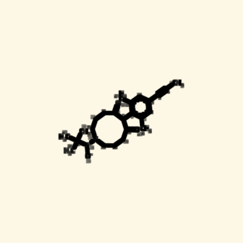 CC#Cc1cc(C)c(C2C(=O)CCCN([S+]([O-])C(C)(C)C)CCCC2=O)c(C)c1